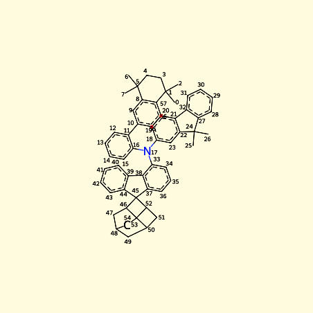 CC1(C)CCC(C)(C)c2cc(-c3ccccc3N(c3ccc4c(c3)C(C)(C)c3ccccc3-4)c3cccc4c3-c3ccccc3C43C4CC5CC6CC3C64C5)ccc21